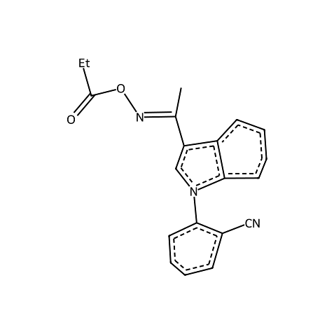 CCC(=O)O/N=C(\C)c1cn(-c2ccccc2C#N)c2ccccc12